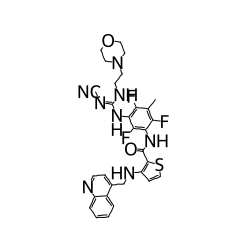 Cc1c(F)c(NC(=O)c2sccc2NCc2ccnc3ccccc23)c(F)c(NC(=NC#N)NCCN2CCOCC2)c1F